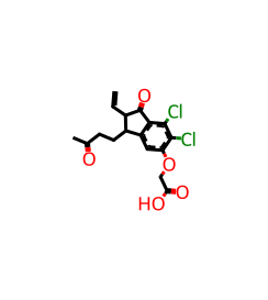 C=CC1C(=O)c2c(cc(OCC(=O)O)c(Cl)c2Cl)C1CCC(C)=O